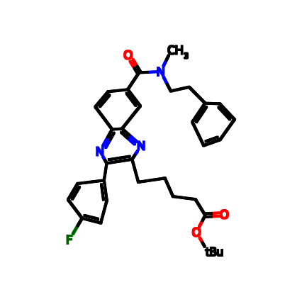 CN(CCc1ccccc1)C(=O)c1ccc2nc(-c3ccc(F)cc3)c(CCCCC(=O)OC(C)(C)C)nc2c1